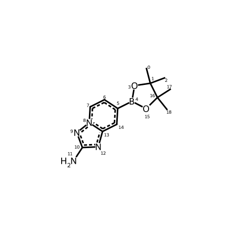 CC1(C)OB(c2ccn3nc(N)nc3c2)OC1(C)C